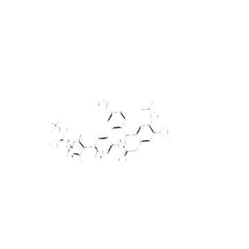 COc1cc2c(cc1OC(C)C)C(c1ccc(Cl)cc1)N(c1ccc(-c3c(C)nn(C(=O)OC(C)(C)C)c3C)nc1)C(=O)C2